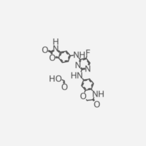 O=C1COc2cc(Nc3ncc(F)c(Nc4ccc5oc(=O)[nH]c5c4)n3)ccc2N1.O=CO